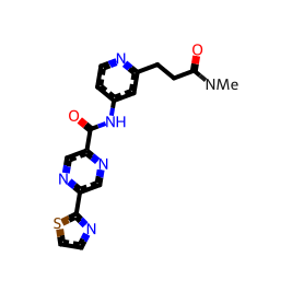 CNC(=O)CCc1cc(NC(=O)c2cnc(-c3nccs3)cn2)ccn1